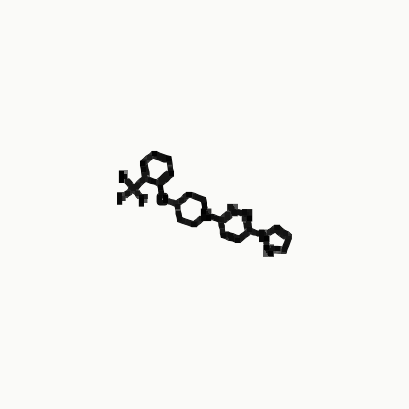 FC(F)(F)c1ccccc1OC1CCN(c2ccc(-n3cccn3)nn2)CC1